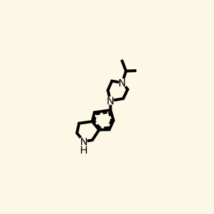 CC(C)N1CCN(c2ccc3c(c2)CCNC3)CC1